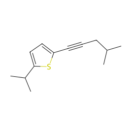 CC(C)CC#Cc1ccc(C(C)C)s1